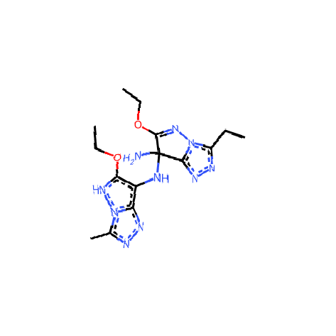 CCOC1=Nn2c(CC)nnc2C1(N)Nc1c(OCC)[nH]n2c(C)nnc12